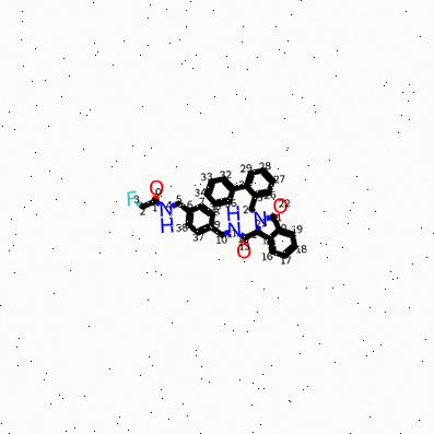 O=C(CF)NCc1ccc(CNC(=O)C2c3ccccc3C(=O)N2Cc2ccccc2-c2ccccc2)cc1